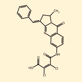 CC1C/C(=C\c2ccccc2)c2nc3cc(NC(=O)/C(Cl)=C(/Cl)C(=O)O)ccc3c(=O)n21